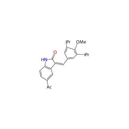 COc1c(C(C)C)cc(/C=C2\C(=O)Nc3ccc(C(C)=O)cc32)cc1C(C)C